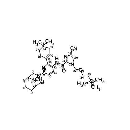 CN1C2CCCC1CN(c1ccc(NC(=O)c3nc(C#N)cn3COCC[Si](C)(C)C)c(C3=CCC(C)(C)CC3)n1)C2